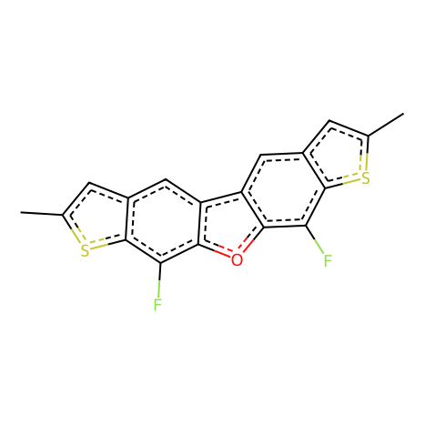 Cc1cc2cc3c(oc4c(F)c5sc(C)cc5cc43)c(F)c2s1